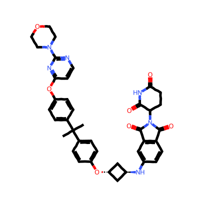 CC(C)(c1ccc(Oc2ccnc(N3CCOCC3)n2)cc1)c1ccc(O[C@H]2C[C@H](Nc3ccc4c(c3)C(=O)N(C3CCC(=O)NC3=O)C4=O)C2)cc1